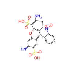 N=c1cc2oc3c(S(=O)(=O)O)c(N)ccc3c(-c3ccccc3[N+](=O)[O-])c-2cc1S(=O)(=O)O